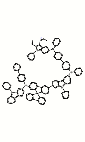 C=Cc1c(/C=C\C)c2cc(N(c3ccccc3)c3ccc(-c4ccc(N(c5ccccc5)c5ccc6c(c5)c5ccc(-c7ccc8c(c7)-c7ccc(N(c9ccc(-c%10ccccc%10)cc9)c9ccc%10c%11ccccc%11n(-c%11ccccc%11)c%10c9)cc7C87c8ccccc8-c8ccccc87)cc5n6-c5ccccc5)cc4)cc3)ccc2n1-c1ccccc1